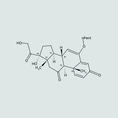 CCCCCOC1=C[C@@H]2[C@H](C(=O)C[C@@]3(C)[C@H]2CC[C@]3(O)C(=O)CO)[C@@]2(C)C=CC(=O)C=C12